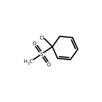 CS(=O)(=O)C1(Cl)[CH]C=CC=C1